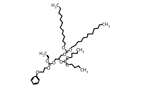 C=COB(OCCOc1ccccc1)OCC(COB(OCCCCCCCCCCCC)OCCCCCCCCCCCC)OB(OCCCC)OCCCC